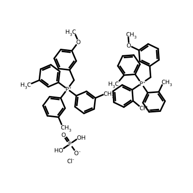 COc1cccc(C[P+](c2cccc(C)c2)(c2cccc(C)c2)c2cccc(C)c2)c1.COc1cccc(C[P+](c2ccccc2C)(c2ccccc2C)c2ccccc2C)c1.O=P([O-])(O)O.[Cl-]